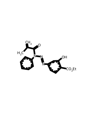 C=C(C)C(=O)N(N=Nc1ccc(C(=O)OCC)c(O)c1)c1ccccc1